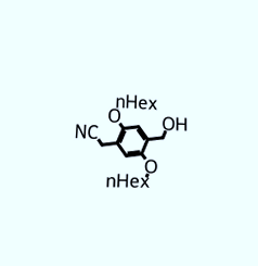 CCCCCCOc1cc(CC#N)c(OCCCCCC)cc1CO